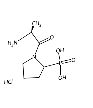 C[C@H](N)C(=O)N1CCCC1P(=O)(O)O.Cl